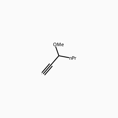 [C]#CC(CCC)OC